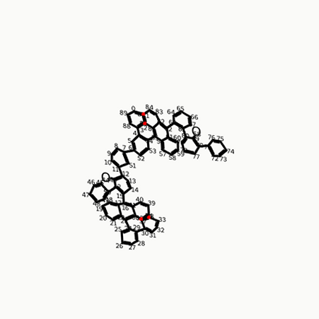 c1ccc(-c2cc(-c3cccc(-c4ccc(-c5c6ccccc6c(-c6ccccc6-c6ccccc6)c6ccccc56)c5c4oc4ccccc45)c3)ccc2-c2c3ccccc3c(-c3cccc4oc5c(-c6ccccc6)cccc5c34)c3ccccc23)cc1